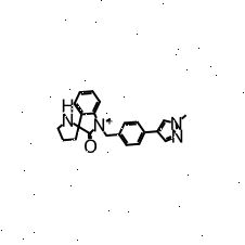 Cn1cc(-c2ccc(C[N+]3(C)C(=O)C4(CCCN4)c4ccccc43)cc2)cn1